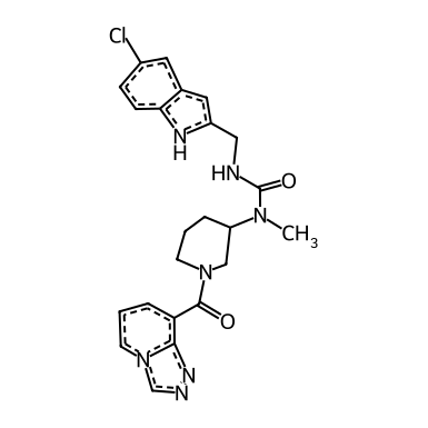 CN(C(=O)NCc1cc2cc(Cl)ccc2[nH]1)C1CCCN(C(=O)c2cccn3cnnc23)C1